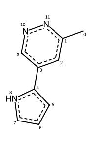 Cc1cc(-c2ccc[nH]2)cnn1